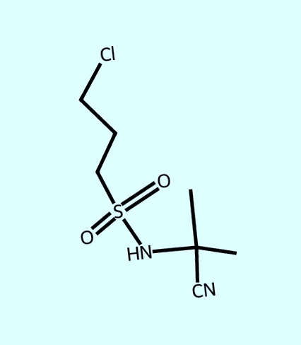 CC(C)(C#N)NS(=O)(=O)CCCCl